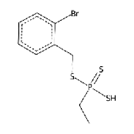 CCP(=S)(S)SCc1ccccc1Br